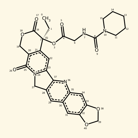 CC[C@@]1(OC(=O)CNC(=O)N2CCCCC2)C(=O)OCc2c1cc1n(c2=O)Cc2cc3cc4c(cc3nc2-1)OCO4